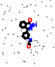 O=C=Nc1cccc(-c2n[nH]c(=O)c3ccccc23)c1